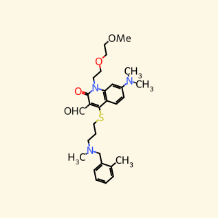 COCCOCCn1c(=O)c(C=O)c(SCCCN(C)Cc2ccccc2C)c2ccc(N(C)C)cc21